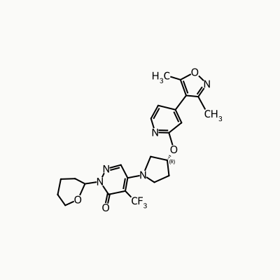 Cc1noc(C)c1-c1ccnc(O[C@@H]2CCN(c3cnn(C4CCCCO4)c(=O)c3C(F)(F)F)C2)c1